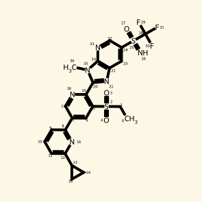 CCS(=O)(=O)c1cc(-c2cccc(C3CC3)n2)cnc1-c1nc2cc(S(=N)(=O)C(F)(F)F)cnc2n1C